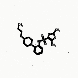 CCCOC1CCN(c2ccccc2NS(=O)(=O)c2cc(C)oc2C)CC1